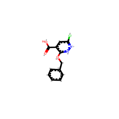 O=C(O)c1cc(Cl)nnc1OCc1ccccc1